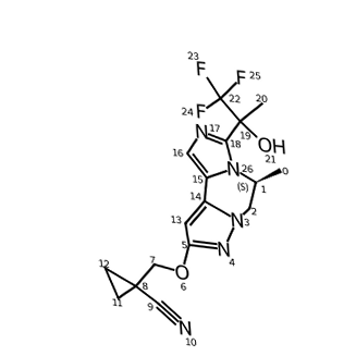 C[C@H]1Cn2nc(OCC3(C#N)CC3)cc2-c2cnc(C(C)(O)C(F)(F)F)n21